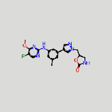 COc1nc(Nc2cc(C)cc(-c3cnn(CC4CNC(=O)O4)c3)c2)ncc1F